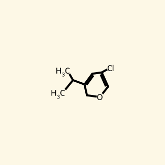 CC(C)C1=CC(Cl)=COC1